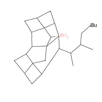 BC1C23CC45C6CC4C(C(C)C(C)CC(C)CC)C2C2CC4CC(C3C5C6)C421